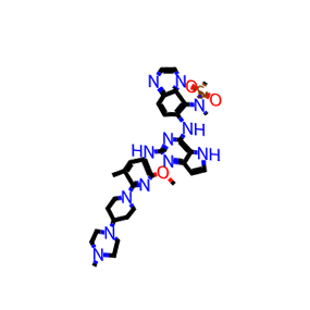 COc1nc(N2CCC(N3CCN(C)CC3)CC2)c(C)cc1Nc1nc(Nc2ccc3nccnc3c2N(C)S(C)(=O)=O)c2[nH]ccc2n1